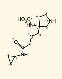 O=C(O)N[C@]1(COCC(=O)NC2CC2)CCNC1